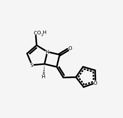 O=C(O)C1=CS[C@@H]2/C(=C/c3ccoc3)C(=O)N12